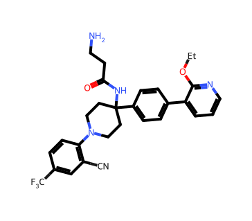 CCOc1ncccc1-c1ccc(C2(NC(=O)CCN)CCN(c3ccc(C(F)(F)F)cc3C#N)CC2)cc1